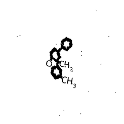 Cc1ccc2c(c1)C1(C)C=C(c3ccccc3)C=CC1O2